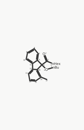 CCCCCCC(=O)C1(OCCCC)c2ccccc2-c2cccc(C)c21